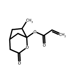 C=CC(=O)OC12CC(CC(=O)O1)CC2C